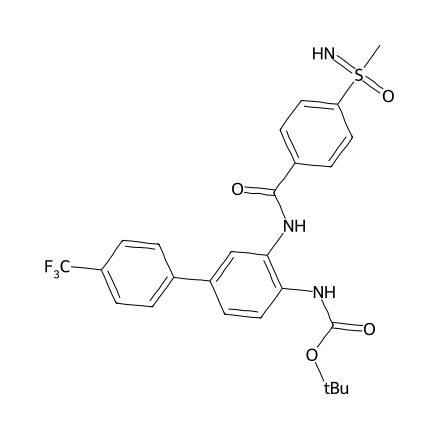 CC(C)(C)OC(=O)Nc1ccc(-c2ccc(C(F)(F)F)cc2)cc1NC(=O)c1ccc(S(C)(=N)=O)cc1